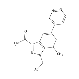 CC(=O)Cn1nc(C(N)=O)c2c1C(C)CC(c1ccnnc1)=C2